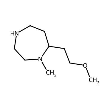 COCCC1CCNCCN1C